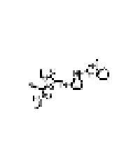 CCNC(=O)C(C#N)=c1sc(=CNc2cccc(NC(=O)CN(C)c3ccccn3)c2)c(=O)n1CC